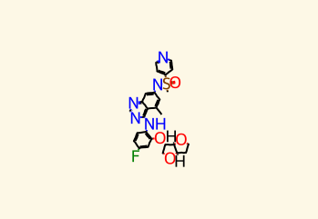 Cc1cc(N=S(C)(=O)c2ccncc2)cc2ncnc(Nc3ccc(F)cc3O[C@@H]3CO[C@@H]4CCO[C@@H]43)c12